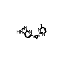 Cc1ccnc([C@@H]2C[C@H]2c2ccc3[nH]cnc3n2)n1